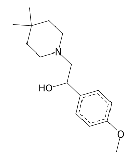 COc1ccc(C(O)CN2CCC(C)(C)CC2)cc1